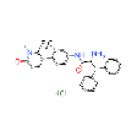 Cc1c(-c2ccc(NC(=O)C(N)C(c3ccccc3)c3ccccc3)cc2C(F)(F)F)ccc(=O)n1C.Cl